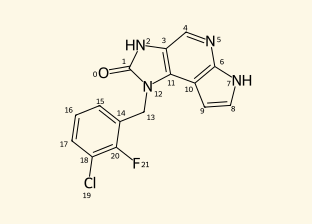 O=c1[nH]c2cnc3[nH]ccc3c2n1Cc1cccc(Cl)c1F